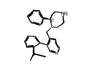 CC(C)c1ccccc1-c1cnccc1CN1CCNC[C@@H]1c1ccccc1